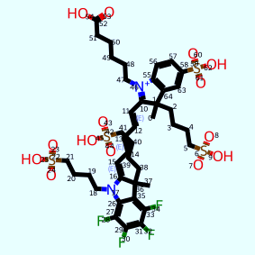 CC1(CCCCS(=O)(=O)O)C(/C=C/C=C/C=C2/N(CCCCS(=O)(=O)O)c3c(F)c(F)c(F)c(F)c3C2(C)CCCCS(=O)(=O)O)=[N+](CCCCCC(=O)O)c2ccc(S(=O)(=O)O)cc21